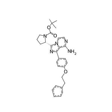 CC(C)(C)OC(=O)N1CCC[C@H]1c1nc(-c2ccc(OCCc3ccccc3)cc2)c2c(N)nccn12